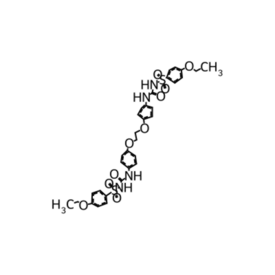 CCOc1ccc(S(=O)(=O)NC(=O)Nc2ccc(OCCOc3ccc(NC(=O)NS(=O)(=O)c4ccc(OCC)cc4)cc3)cc2)cc1